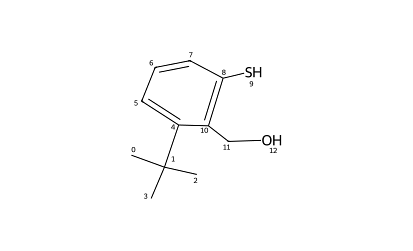 CC(C)(C)c1cccc(S)c1CO